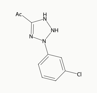 CC(=O)C1=NN(c2cccc(Cl)c2)NN1